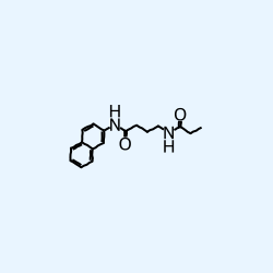 CCC(=O)NCCCC(=O)Nc1ccc2ccccc2c1